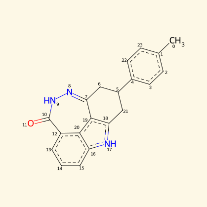 Cc1ccc(C2CC3=NNC(=O)c4cccc5[nH]c(c3c45)C2)cc1